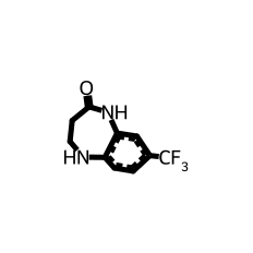 O=C1CCNc2ccc(C(F)(F)F)cc2N1